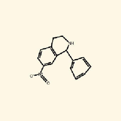 O=[N+]([O-])c1ccc2c(c1)C(c1ccccc1)NCC2